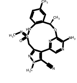 CN=S1(=O)Cc2nn(C)c(C#N)c2-c2cnc(N)c(n2)O[C@H](C)c2cc(C)ccc2N1